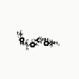 CN(c1ccc(NC(=O)Nc2ccc(OC(F)(F)F)cc2)cc1)c1nc(Nc2cccc(S(N)(=O)=O)c2)ncc1Cl